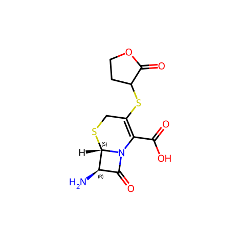 N[C@@H]1C(=O)N2C(C(=O)O)=C(SC3CCOC3=O)CS[C@@H]12